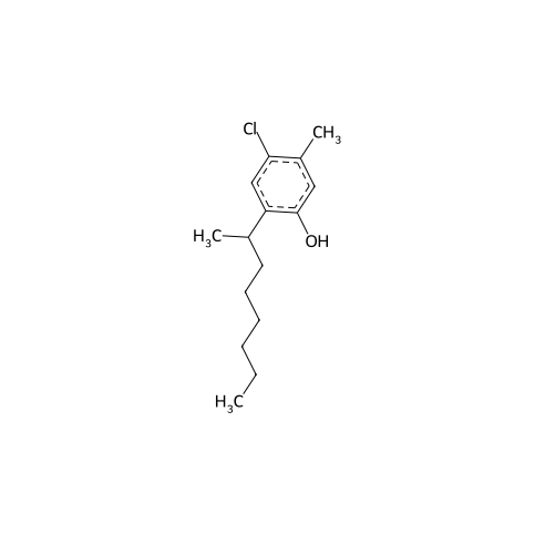 CCCCCCC(C)c1cc(Cl)c(C)cc1O